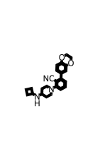 N#Cc1c(-c2ccc3c(c2)OCCO3)cccc1N1CCC(NC2CCC2)CC1